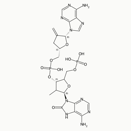 C=C1C[C@@H](COP(=O)(O)O[C@@H]2C(COP(=O)(O)O)O[C@@H](n3c(=O)[nH]c4c(N)ncnc43)C2C)O[C@H]1n1cnc2c(N)ncnc21